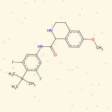 COc1ccc2c(c1)CCNC2C(=O)Nc1cc(F)c([Si](C)(C)C)c(F)c1